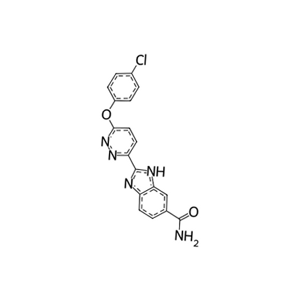 NC(=O)c1ccc2nc(-c3ccc(Oc4ccc(Cl)cc4)nn3)[nH]c2c1